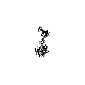 Cc1ccc([C@]23OC[C@](C(C)(C)O)(O2)[C@@H](O)[C@H](O)[C@H]3O)cc1Cc1ccc(CCCC(=O)N2CCC2C(=O)NCCN(C)C)cc1